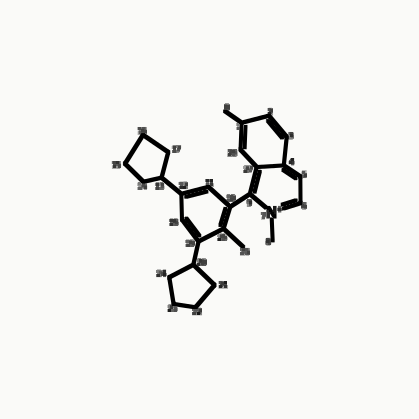 Cc1ccc2cc[n+](C)c(-c3cc(C4CCCC4)cc(C4CCCC4)c3C)c2c1